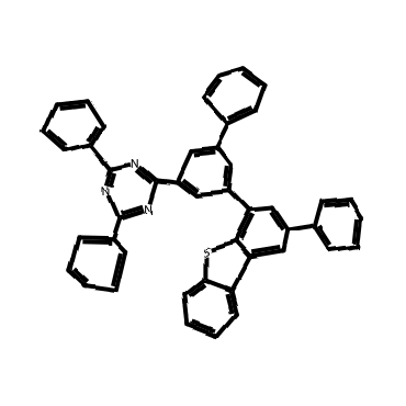 c1ccc(-c2cc(-c3nc(-c4ccccc4)nc(-c4ccccc4)n3)cc(-c3cc(-c4ccccc4)cc4c3sc3ccccc34)c2)cc1